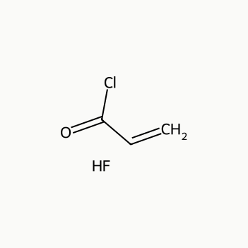 C=CC(=O)Cl.F